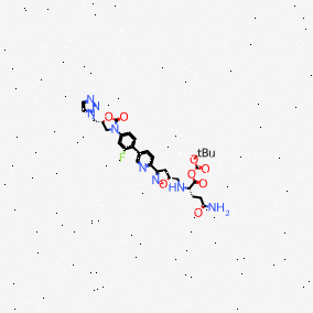 CC(C)(C)OC(=O)OC(=O)[C@H](CCC(N)=O)NC[C@@H]1CC(c2ccc(-c3ccc(N4C[C@H](Cn5ccnn5)OC4=O)cc3F)cn2)=NO1